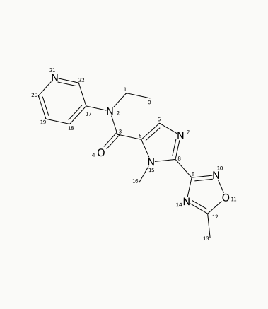 CCN(C(=O)c1cnc(-c2noc(C)n2)n1C)c1cccnc1